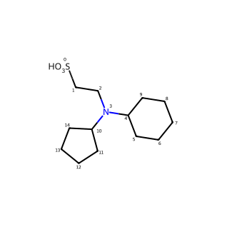 O=S(=O)(O)CCN(C1CCCCC1)C1CCCC1